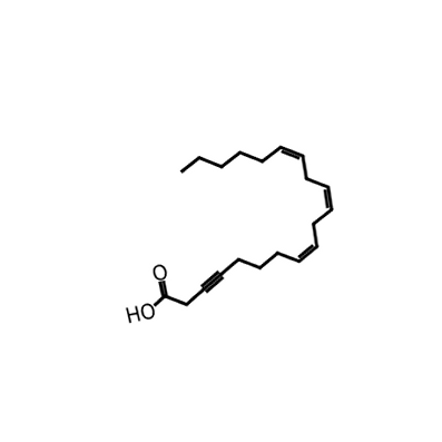 CCCCC/C=C\C/C=C\C/C=C\CCCC#CCC(=O)O